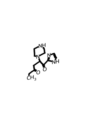 CCC(=O)CC(C(=O)c1ncc[nH]1)N1CCNCC1